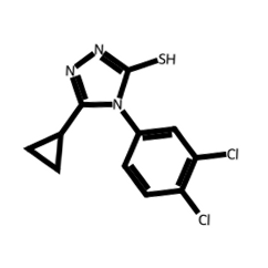 Sc1nnc(C2CC2)n1-c1ccc(Cl)c(Cl)c1